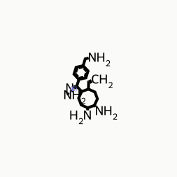 C=CC1CCC(N)C(N)CCC1/C(=N\N)c1ccc(CN)cc1